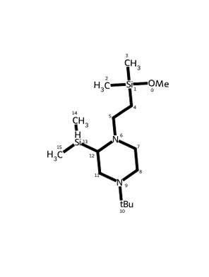 CO[Si](C)(C)CCN1CCN(C(C)(C)C)CC1[SiH](C)C